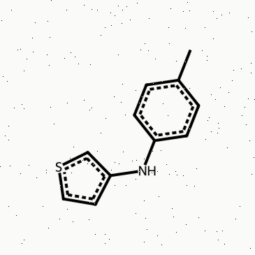 Cc1ccc(Nc2ccsc2)cc1